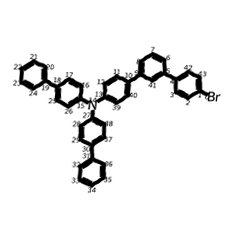 Brc1ccc(-c2cccc(-c3ccc(N(c4ccc(-c5ccccc5)cc4)c4ccc(-c5ccccc5)cc4)cc3)c2)cc1